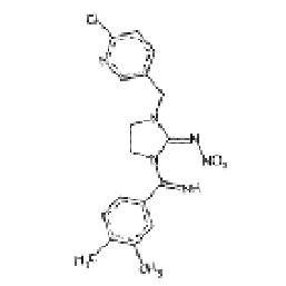 Cc1ccc(C(=N)N2CCN(Cc3ccc(Cl)nc3)/C2=N/[N+](=O)[O-])cc1C